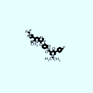 COc1nc2c(Oc3ccc(NC(=O)c4cn(C(C)C)cc(-c5ccc(F)cc5)c4=O)cc3F)ccnc2cc1-c1cnn(C(F)F)c1